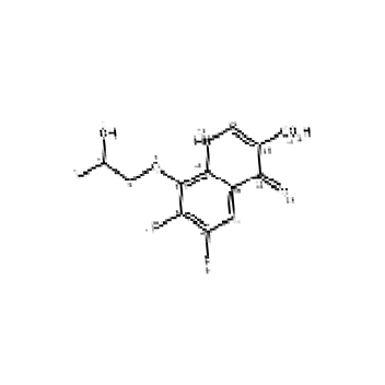 CC(O)COc1c(F)c(F)cc2c(=O)c(C(=O)O)c[nH]c12